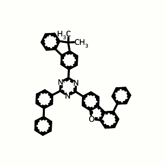 CC1(C)c2ccccc2-c2cc(-c3nc(-c4cccc(-c5ccccc5)c4)nc(-c4ccc5c(c4)oc4cccc(-c6ccccc6)c45)n3)ccc21